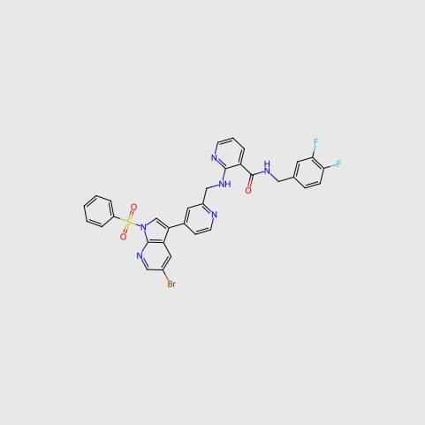 O=C(NCc1ccc(F)c(F)c1)c1cccnc1NCc1cc(-c2cn(S(=O)(=O)c3ccccc3)c3ncc(Br)cc23)ccn1